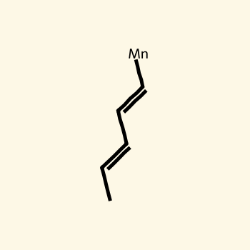 CC=CC=[CH][Mn]